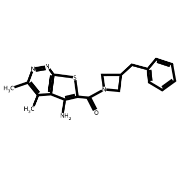 Cc1nnc2sc(C(=O)N3CC(Cc4ccccc4)C3)c(N)c2c1C